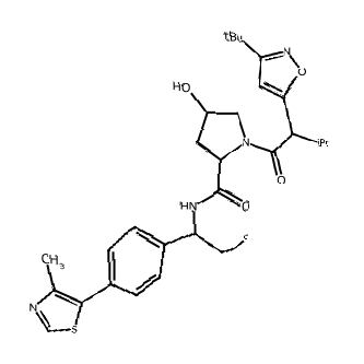 Cc1ncsc1-c1ccc(C(CF)NC(=O)C2CC(O)CN2C(=O)C(c2cc(C(C)(C)C)no2)C(C)C)cc1